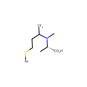 CC(=O)SCCC(N(C)[C@@H](C)C(=O)O)C(F)(F)F